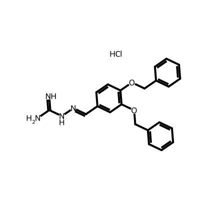 Cl.N=C(N)N/N=C/c1ccc(OCc2ccccc2)c(OCc2ccccc2)c1